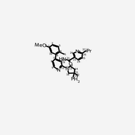 COc1ccc(C)c(-c2ccnc(N3CCC(F)(P)C3)c2NC(=O)c2ccc(C(C)C)nc2)c1